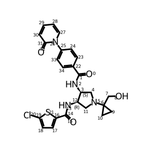 O=C(N[C@H]1CN(C2(CO)CC2)C[C@H]1NC(=O)c1ccc(Cl)s1)c1ccc(-n2ccccc2=O)cc1